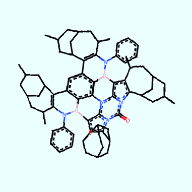 CC1CC2CC(C)C3=C(c4cc5c6c7c4B(c4c8c(n9c(=O)n%10c%11c(c(c%10n-7c49)B6N(c4ccccc4)C4=C5C5CC(C)CC(CC4C)C5)C4CC5CC(C4)CC%11C5)C4CC(C)CC(CC8C)C4)N3c3ccccc3)C(C1)C2